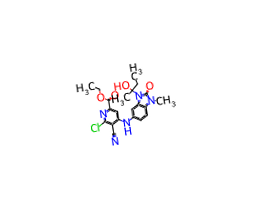 CCOC(=O)c1cc(Nc2ccc3c(c2)n(C(C)(O)CC)c(=O)n3C)c(C#N)c(Cl)n1